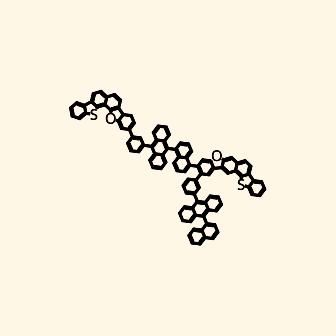 C1=C(c2cccc(-c3c4ccccc4c(-c4cccc5c(-c6cc7oc8cc9ccc%10c%11ccccc%11sc%10c9cc8c7cc6-c6cccc(-c7c8c(c(-c9cccc%10ccccc9%10)c9ccccc79)=CCCC=8)c6)cccc45)c4ccccc34)c2)C=C2Oc3c(ccc4ccc5c6ccccc6sc5c34)C2C1